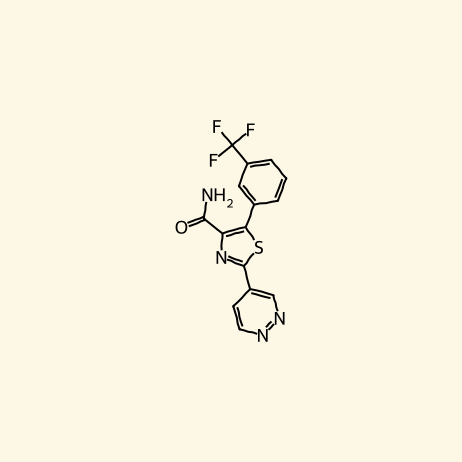 NC(=O)c1nc(-c2ccnnc2)sc1-c1cccc(C(F)(F)F)c1